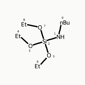 CCCCN[Si](OCC)(OCC)OCC